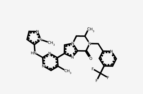 Cc1cnc(Nc2ccnn2C)nc1-c1cn2c(n1)C(=O)N(Cc1cc(C(F)(F)F)ccn1)C(C)C2